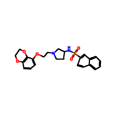 O=S(=O)(NC1CCN(CCOc2cccc3c2OCCO3)C1)c1ccc2ccccc2c1